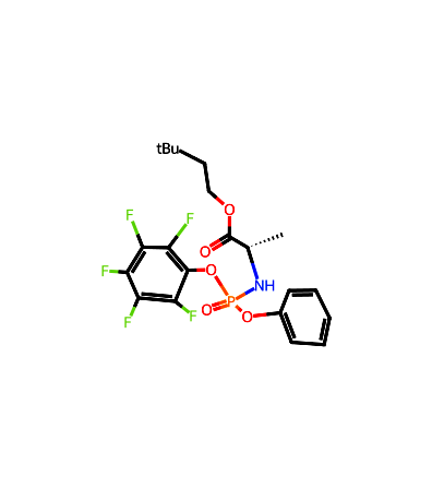 C[C@H](NP(=O)(Oc1ccccc1)Oc1c(F)c(F)c(F)c(F)c1F)C(=O)OCCC(C)(C)C